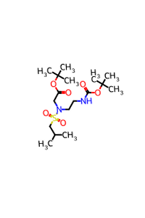 CC(C)CS(=O)(=O)N(CCNC(=O)OC(C)(C)C)CC(=O)OC(C)(C)C